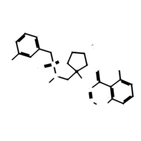 CCN(CC1(C)CC[C@H](C(C)C)[C@@H]1/C=C(\N=N/C)c1c(F)cccc1F)S(=O)(=O)Cc1cccc(F)c1